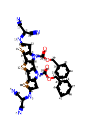 N#CC(C#N)=Nc1cc2c(s1)c1sc3c4sc(N=C(C#N)C#N)cc4n(C(=O)OCc4ccccc4)c3c1n2C(=O)OCc1ccccc1